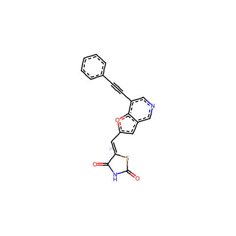 O=C1NC(=O)/C(=C/c2cc3cncc(C#Cc4ccccc4)c3o2)S1